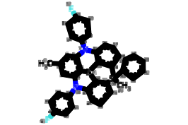 Cc1cc2c3c(c1)N(c1ccc(F)cc1)c1cccc4c1B3c1c(cccc1[Si]4(C)c1ccccc1)N2c1ccc(F)cc1